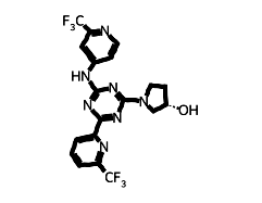 O[C@H]1CCN(c2nc(Nc3ccnc(C(F)(F)F)c3)nc(-c3cccc(C(F)(F)F)n3)n2)C1